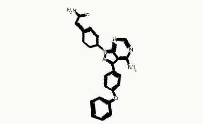 NC(=O)C=C1CCC(n2nc(-c3ccc(Oc4ccccc4)cc3)c3c(N)ncnc32)CC1